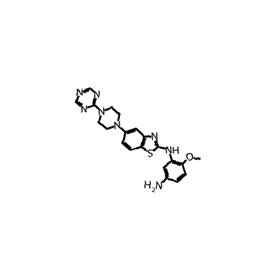 COc1ccc(N)cc1Nc1nc2cc(N3CCN(c4ncncn4)CC3)ccc2s1